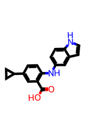 O=C(O)c1cc(C2CC2)ccc1Nc1ccc2[nH]ccc2c1